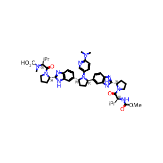 COC(=O)N[C@H](C(=O)N1CCC[C@H]1c1nc2ccc([C@H]3CC[C@H](c4ccc5nc([C@@H]6CCCN6C(=O)[C@H](C(C)C)N(C)C(=O)O)[nH]c5c4)N3c3ccc(N(C)C)nc3)cc2[nH]1)C(C)C